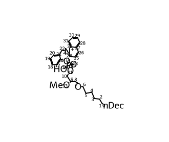 CCCCCCCCCCCCCCCCOCC(COP(=O)(O)Oc1ccccc1C[n+]1cccc2ccccc21)OC